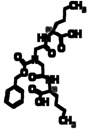 CCCC[C@H](NC(=O)CN(CC(=O)N[C@@H](CCCC)C(=O)O)C(=O)OCc1ccccc1)C(=O)O